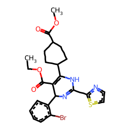 CCOC(=O)C1=C(C2CCC(C(=O)OC)CC2)NC(c2nccs2)=NC1c1ccccc1Br